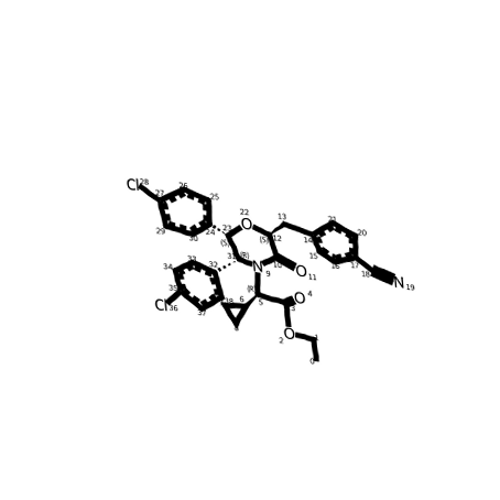 CCOC(=O)[C@@H](C1CC1)N1C(=O)[C@H](Cc2ccc(C#N)cc2)O[C@@H](c2ccc(Cl)cc2)[C@H]1c1ccc(Cl)cc1